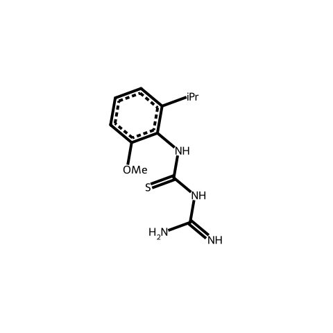 COc1cccc(C(C)C)c1NC(=S)NC(=N)N